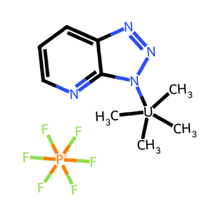 F[P-](F)(F)(F)(F)F.[CH3][U]([CH3])([CH3])([CH3])[n]1nnc2cccnc21